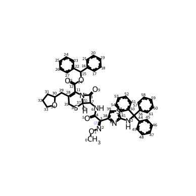 CO/N=C(\C(=O)NC1C(=O)N2C(C(=O)OC(c3ccccc3)c3ccccc3)=C(CC3CCCO3)CS[C@@H]12)c1csc(NC(c2ccccc2)(c2ccccc2)c2ccccc2)n1